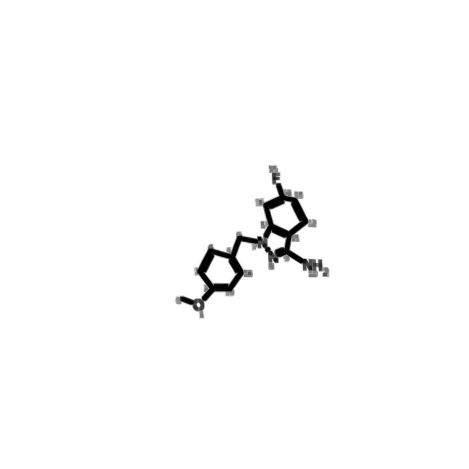 COc1ccc(Cn2nc(N)c3ccc(F)cc32)cc1